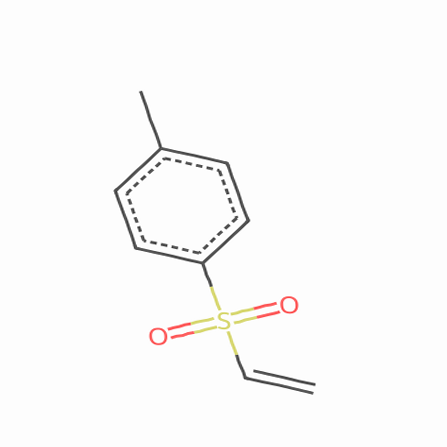 C=CS(=O)(=O)c1ccc(C)cc1